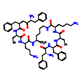 CC(C)C[C@@H](NC(=O)[C@H](CC(=O)[C@H](N)Cc1ccccc1)Cc1ccccc1)C(=O)N[C@H](CCCN)C(=O)N[C@@H](CCCCNC(=O)[C@@H](CCCCN)NC(=O)[C@@H](CC(C)C)NC(=O)[C@@H](Cc1ccccc1)NC(=O)[C@H](N)Cc1ccccc1)C(=O)O